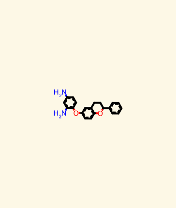 Nc1ccc(Oc2ccc3c(c2)CCC(c2ccccc2)O3)c(N)c1